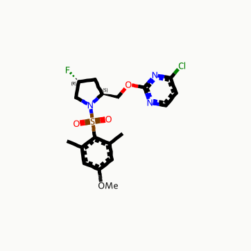 COc1cc(C)c(S(=O)(=O)N2C[C@H](F)C[C@H]2COc2nccc(Cl)n2)c(C)c1